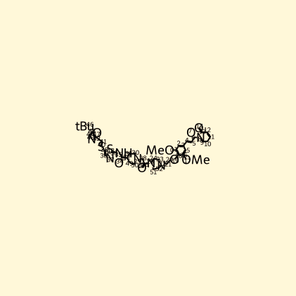 COc1cc(/C=C/C(=O)N2CCC=CC2=O)cc(OC)c1OCCN1CCN(C(=O)CN2CCC(C(=O)Nc3ncc(SCc4ncc(C(C)(C)C)o4)s3)CC2)CC1